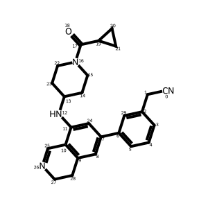 N#CCc1cccc(-c2cc3c(c(NC4CCN(C(=O)C5CC5)CC4)c2)C=NCC3)c1